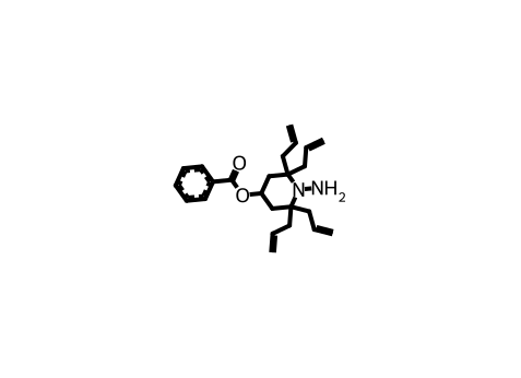 C=CCC1(CC=C)CC(OC(=O)c2ccccc2)CC(CC=C)(CC=C)N1N